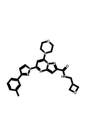 Cc1cccc(-c2ccn(-c3cc(N4CCOCC4)n4nc(C(=O)NCC5COC5)cc4n3)n2)c1